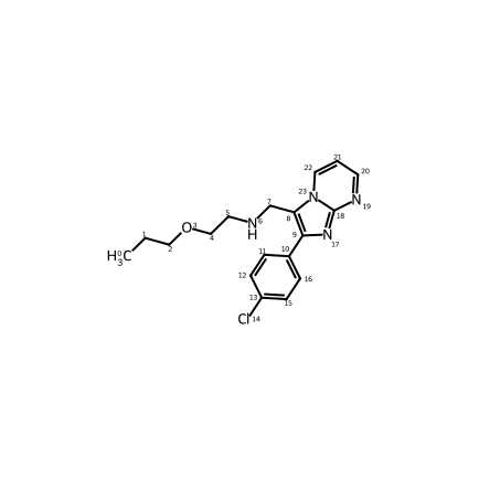 CCCOCCNCc1c(-c2ccc(Cl)cc2)nc2ncccn12